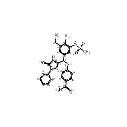 CS(=O)(=O)Oc1cc(C(Nc2ccc(C(=N)N)cc2)c2nn(-c3ncccn3)c(=O)[nH]2)cc(CO)c1O